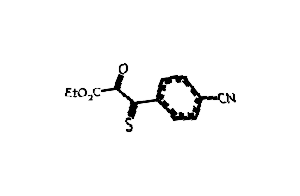 CCOC(=O)C(=O)C(=S)c1ccc(C#N)cc1